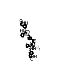 CN(Cc1cc(-c2coc(CNC(=O)[C@H](NSc3ccc4[nH]c(=O)ccc4c3)c3ccccc3)c2)cs1)C(=O)[C@H](NSc1ccc2[nH]c(=O)ccc2c1)c1ccccc1